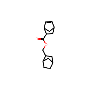 O=C(OCC1CC2CCC1C2)C1CC2C=CC1C2